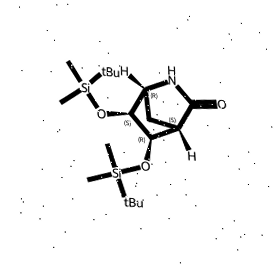 CC(C)(C)[Si](C)(C)O[C@@H]1[C@H](O[Si](C)(C)C(C)(C)C)[C@@H]2C[C@H]1NC2=O